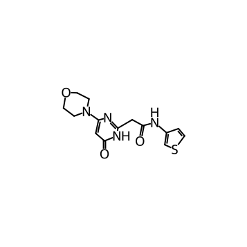 O=C(Cc1nc(N2CCOCC2)cc(=O)[nH]1)Nc1ccsc1